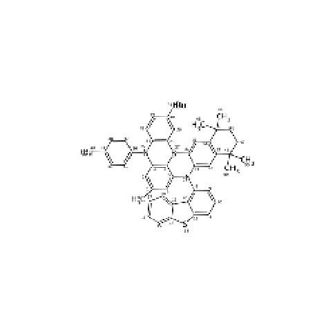 Cc1cc2c3c(c1)N(c1cccc4sc5ccccc5c14)c1cc4c(cc1B3c1cc(C(C)(C)C)ccc1N2c1ccc(C(C)(C)C)cc1)C(C)(C)CCC4(C)C